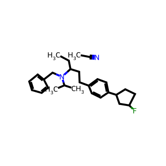 CC#N.CCC(CCc1ccc(C2CCC(F)C2)cc1)N(Cc1ccccc1)C(C)C